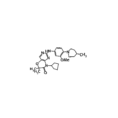 COc1cc(Nc2ncc3c(n2)N(C2CCCC2)C(=O)C(C)(C)O3)ccc1N1CCC(C)CC1